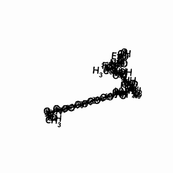 CC[C@@]1(O)C(=O)OCc2c1cc1n(c2=O)Cc2c-1nc1cc(F)c(C)c3c1c2[C@@H](NC(=O)[C@H](O)COCNC(=O)CNC(=O)[C@H](Cc1ccccc1)NC(=O)CNC(=O)CNC(=O)CCOCCOCCOCCOCCOCCOCCOCCOCCNC(=O)CCN1C(=O)CC(C)C1=O)CC3